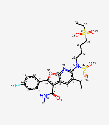 CCc1cc2c(C(=O)NC)c(-c3ccc(F)cc3)oc2nc1N(CCCCS(=O)(=O)CC)[SH](=O)=O